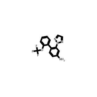 Nc1ccc(-c2ccccc2OC(F)(F)F)c(-n2nccn2)c1